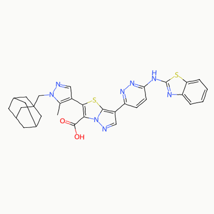 Cc1c(-c2sc3c(-c4ccc(Nc5nc6ccccc6s5)nn4)cnn3c2C(=O)O)cnn1CC12CC3CC(CC(C3)C1)C2